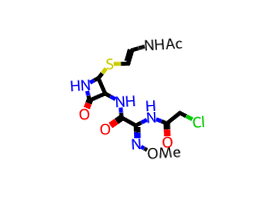 CON=C(NC(=O)CCl)C(=O)NC1C(=O)NC1SC=CNC(C)=O